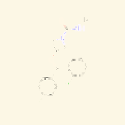 CC(C)(C)NC(=O)N1CC(OC(c2ccc(Cl)cc2)c2ccccc2Cl)C1